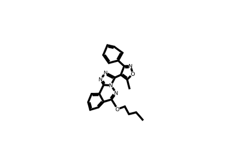 CCCCOc1nn2c(-c3c(-c4ccccc4)noc3C)nnc2c2ccccc12